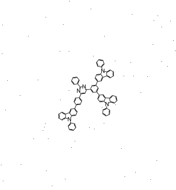 c1ccc(-c2nc(-c3ccc(-c4ccc5c(c4)c4ccccc4n5-c4ccccc4)cc3)cc(-c3cc(-c4ccc5c(c4)c4ccccc4n5-c4ccccc4)cc(-c4ccc5c(c4)c4ccccc4n5-c4ccccc4)c3)n2)cc1